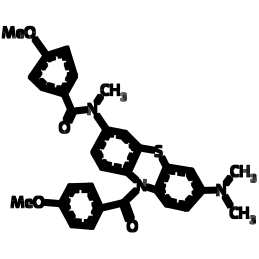 COc1ccc(C(=O)N(C)c2ccc3c(c2)Sc2cc(N(C)C)ccc2N3C(=O)c2ccc(OC)cc2)cc1